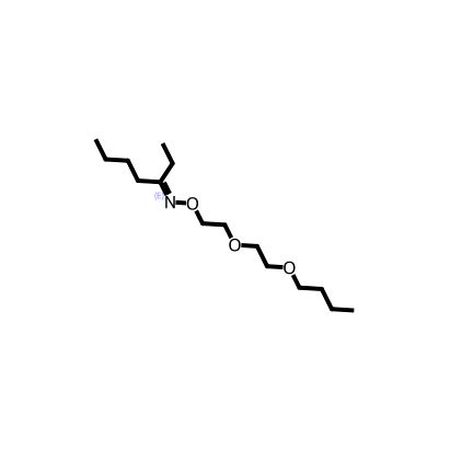 CCCCOCCOCCO/N=C(\CC)CCCC